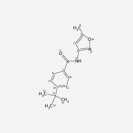 Cc1cc(NC(=O)c2ccc(C(C)(C)C)cc2)no1